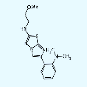 COCCNc1nn2cc(-c3ccccc3N(C)C)nc2s1